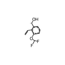 C=Cc1c([CH]O)cccc1OC(F)F